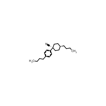 CCCCc1ccc([C@]2(C#N)CC[C@H](CCCC)CC2)cc1